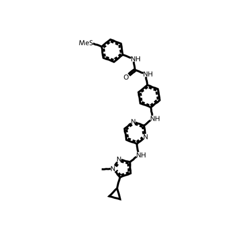 CSc1ccc(NC(=O)Nc2ccc(Nc3nccc(Nc4cc(C5CC5)n(C)n4)n3)cc2)cc1